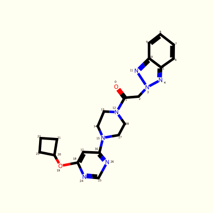 O=C(Cn1nc2ccccc2n1)N1CCN(c2cc(OC3CCC3)ncn2)CC1